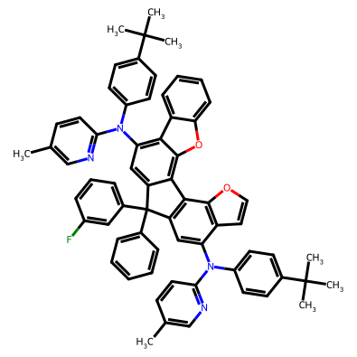 Cc1ccc(N(c2ccc(C(C)(C)C)cc2)c2cc3c(c4occc24)-c2c(cc(N(c4ccc(C(C)(C)C)cc4)c4ccc(C)cn4)c4c2oc2ccccc24)C3(c2ccccc2)c2cccc(F)c2)nc1